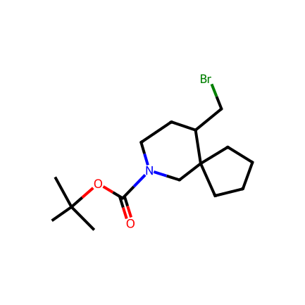 CC(C)(C)OC(=O)N1CCC(CBr)C2(CCCC2)C1